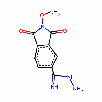 CON1C(=O)c2ccc(C(=N)NN)cc2C1=O